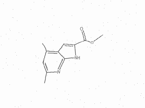 COC(=O)c1cc2c(C)cc(C)nc2[nH]1